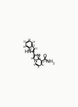 NC(=O)c1cccn2cc(-c3cc4ccccc4[nH]3)nc12